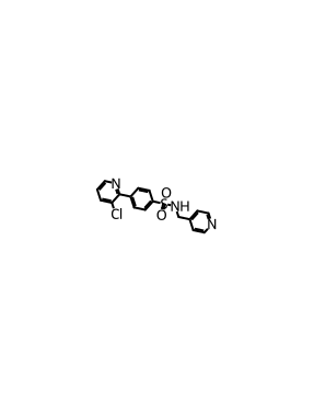 O=S(=O)(NCc1ccncc1)c1ccc(-c2ncccc2Cl)cc1